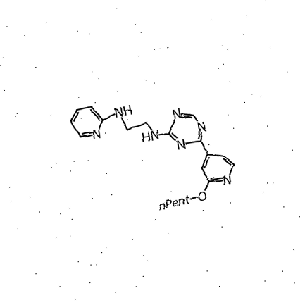 CCCCCOc1cc(-c2ncnc(NCCNc3ccccn3)n2)ccn1